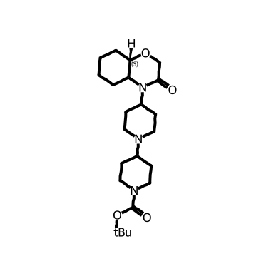 CC(C)(C)OC(=O)N1CCC(N2CCC(N3C(=O)CO[C@H]4CCCCC43)CC2)CC1